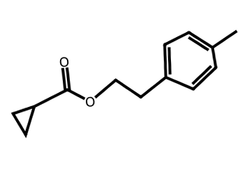 Cc1ccc(CCOC(=O)C2CC2)cc1